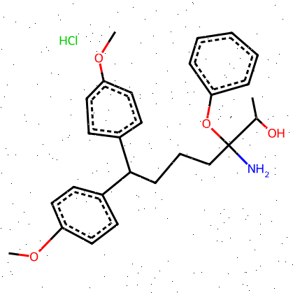 COc1ccc(C(CCCC(N)(Oc2ccccc2)C(C)O)c2ccc(OC)cc2)cc1.Cl